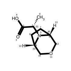 C[C@@H](C(=O)O)N1[C@@H]2CC[C@H]1COC2